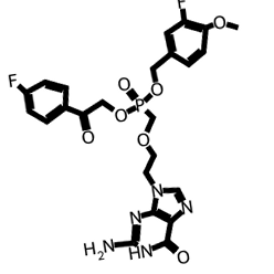 COc1ccc(COP(=O)(COCCn2cnc3c(=O)[nH]c(N)nc32)OCC(=O)c2ccc(F)cc2)cc1F